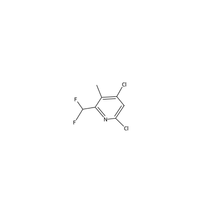 Cc1c(Cl)cc(Cl)nc1C(F)F